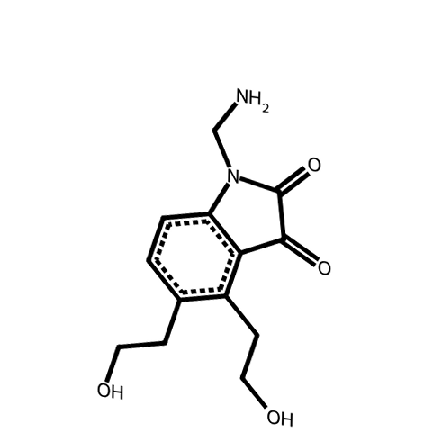 NCN1C(=O)C(=O)c2c1ccc(CCO)c2CCO